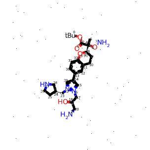 CC(C)(C)OC(=O)C(C)(ON)[C@H]1CCc2cc(-c3cn(CC(O)CN)[n+](C[C@@H]4CCNC4)c3)ccc2O1